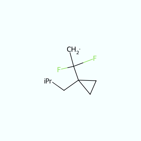 [CH2]C(F)(F)C1(CC(C)C)CC1